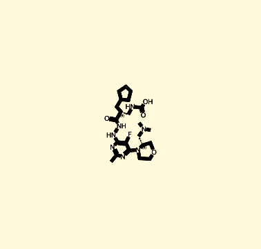 Cc1nc(NNC(=O)[C@@H](CNC(=O)O)CC2CCCC2)c(F)c(N2CCOC[C@H]2CN(C)C)n1